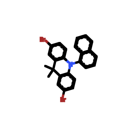 CC1(C)c2cc(Br)ccc2N(c2cccc3ccccc23)c2ccc(Br)cc21